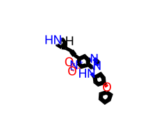 O=[N+]([O-])c1cc2c(Nc3ccc(Oc4ccccc4)cc3)ncnc2cc1C#CC1C2CNC[C@@H]12